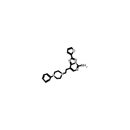 Nc1ncc(CCN2CCN(c3ccccc3)CC2)c2nc(-c3ccco3)nn12